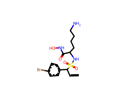 C=CC(c1ccc(Br)cc1)S(=O)(=O)NC(CCCCN)C(=O)NO